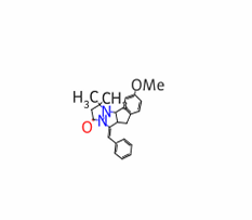 COc1ccc2c(c1)C1C(C2)/C(=C\c2ccccc2)N2C(=O)CC(C)(C)N12